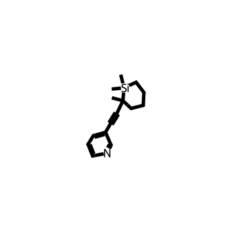 CC1(C#Cc2cccnc2)CCCC[Si]1(C)C